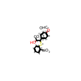 CCOC(=O)C(O)C(Sc1ccccc1[N+](=O)[O-])c1ccc(OC=O)cc1